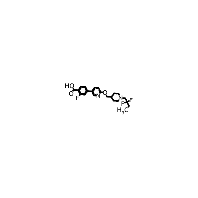 CCC(F)(F)CN1CCC(COc2ccc(-c3ccc(C(=O)O)c(F)c3)cn2)CC1